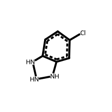 Clc1ccc2c(c1)NNN2